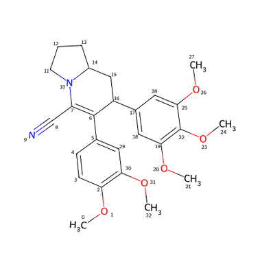 COc1ccc(C2=C(C#N)N3CCCC3CC2c2cc(OC)c(OC)c(OC)c2)cc1OC